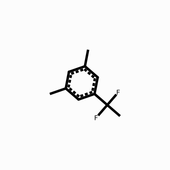 Cc1cc(C)cc(C(C)(F)F)c1